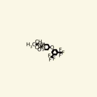 CC(C)(C)NC(=O)N1CCC(Oc2cc(C(F)(F)F)cc(C(F)(F)F)c2)CC1